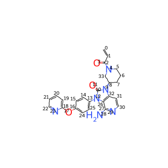 C=CC(=O)N1CCC[C@@H](n2c(=O)n(-c3ccc(Oc4ccccn4)cc3)c3c(N)nccc32)C1